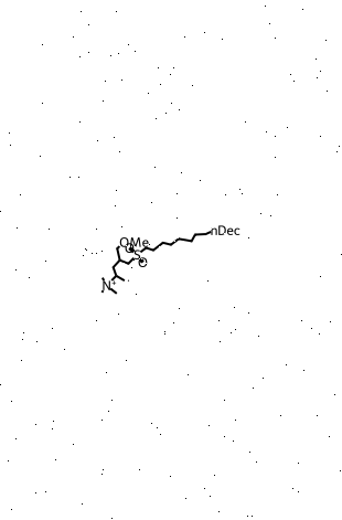 [CH2]C(CC(COC)CS(=O)(=O)CCCCCCCCCCCCCCCCCC)[N+](C)(C)C